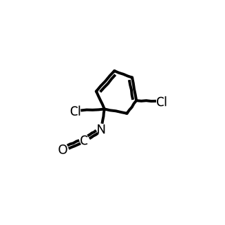 O=C=NC1(Cl)C=CC=C(Cl)C1